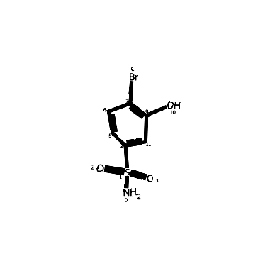 NS(=O)(=O)c1ccc(Br)c(O)c1